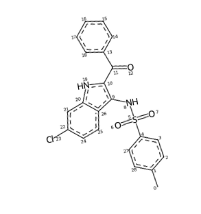 Cc1ccc(S(=O)(=O)Nc2c(C(=O)c3ccccc3)[nH]c3cc(Cl)ccc23)cc1